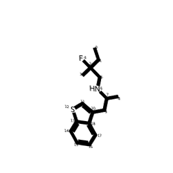 CCC(C)(F)CNC(C)Cc1csc2ccccc12